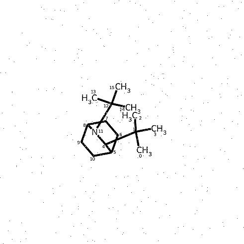 CC(C)(C)C1C2CCC(CC2)N1C(C)(C)C